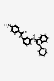 Nc1ccc(C(=O)Nc2cccc(Nc3nn(C4CCCCO4)c4ccccc34)c2)cc1